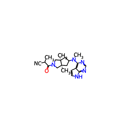 CC(C#N)C(=O)N1C[C@]2(C)CC(N(C)c3ncnc4[nH]ccc34)C[C@]2(C)C1